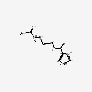 CNC(=O)NSCCSC(C)c1c[nH]cn1